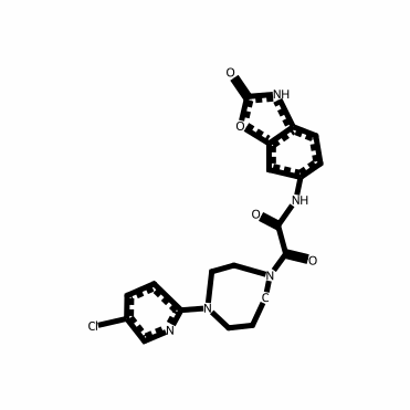 O=C(Nc1ccc2[nH]c(=O)oc2c1)C(=O)N1CCCN(c2ccc(Cl)cn2)CC1